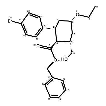 CCO[C@@H]1C[C@H](CO)[C@@H](C(=O)OCc2ccccc2)[C@H](c2ccc(Br)cc2)C1